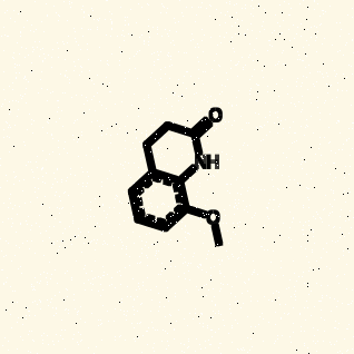 COc1cccc2c1NC(=O)CC2